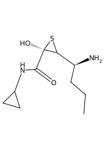 CCC[C@H](N)C1S[C@]1(O)C(=O)NC1CC1